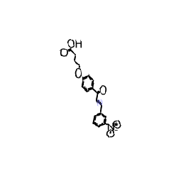 O=C(O)CCCOc1ccc(C(=O)/C=C/c2cccc([N+](=O)[O-])c2)cc1